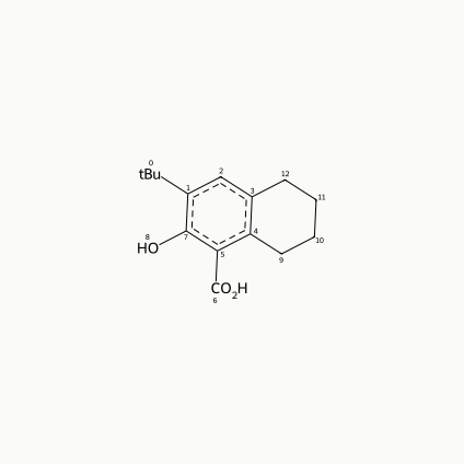 CC(C)(C)c1cc2c(c(C(=O)O)c1O)CCCC2